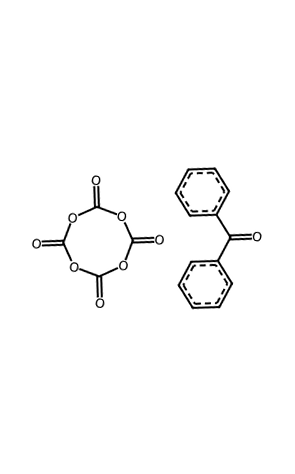 O=C(c1ccccc1)c1ccccc1.O=C1OC(=O)OC(=O)OC(=O)O1